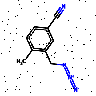 Cc1ccc(C#N)cc1CN=[N+]=[N-]